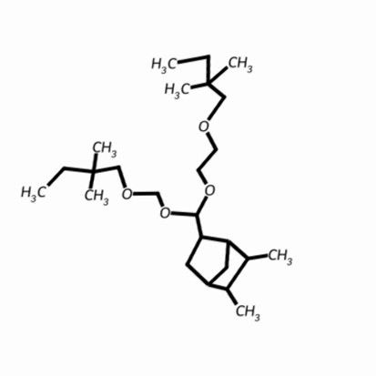 CCC(C)(C)COCCOC(OCOCC(C)(C)CC)C1CC2CC1C(C)C2C